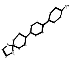 OC1CCC(C2CCC(C3CCC4(CC3)OCCO4)CC2)CC1